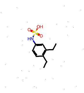 CCc1ccc(NS(=O)(=O)O)cc1CC